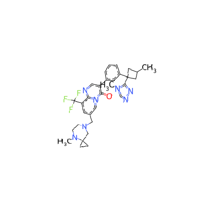 CC1CC(c2cccc(-c3cnc4c(C(F)(F)F)cc(CN5CCN(C)C6(CC6)C5)cn4c3=O)c2)(c2nncn2C)C1